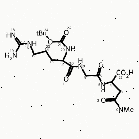 CNC(=O)CC(NC(=O)CNC(=O)C(CCCNC(=N)N)NC(=O)OC(C)(C)C)C(=O)O